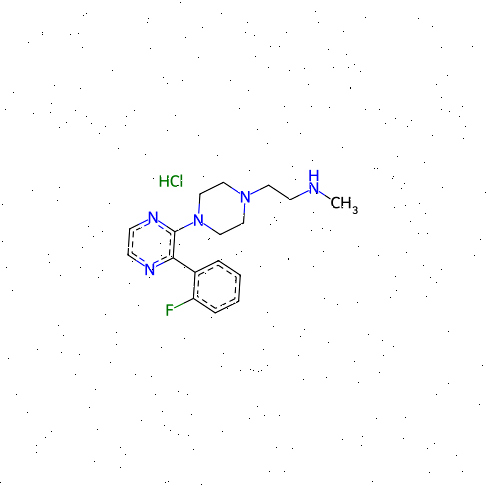 CNCCN1CCN(c2nccnc2-c2ccccc2F)CC1.Cl